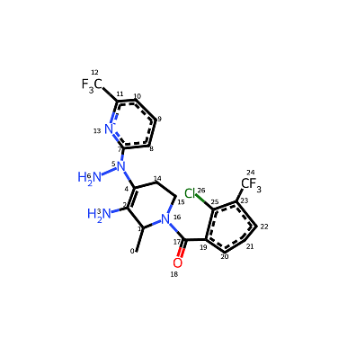 CC1C(N)=C(N(N)c2cccc(C(F)(F)F)n2)CCN1C(=O)c1cccc(C(F)(F)F)c1Cl